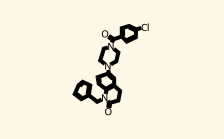 O=C(c1ccc(Cl)cc1)N1CCN(c2ccc3c(c2)CCC(=O)N3Cc2ccccc2)CC1